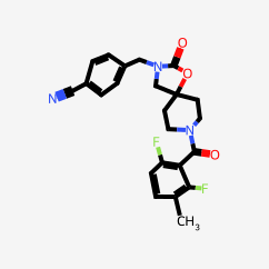 Cc1ccc(F)c(C(=O)N2CCC3(CC2)CN(Cc2ccc(C#N)cc2)C(=O)O3)c1F